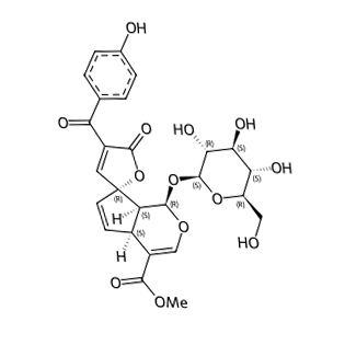 COC(=O)C1=CO[C@H](O[C@@H]2O[C@H](CO)[C@@H](O)[C@H](O)[C@H]2O)[C@H]2[C@@H]1C=C[C@@]21C=C(C(=O)c2ccc(O)cc2)C(=O)O1